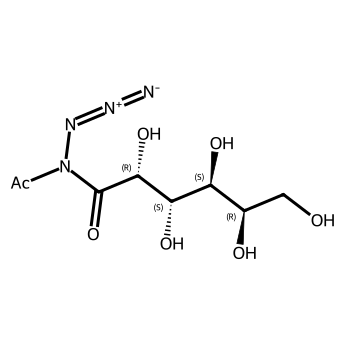 CC(=O)N(N=[N+]=[N-])C(=O)[C@H](O)[C@@H](O)[C@@H](O)[C@H](O)CO